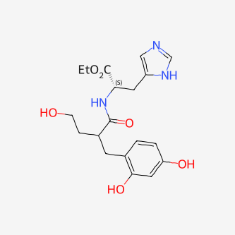 CCOC(=O)[C@H](Cc1cnc[nH]1)NC(=O)C(CCO)Cc1ccc(O)cc1O